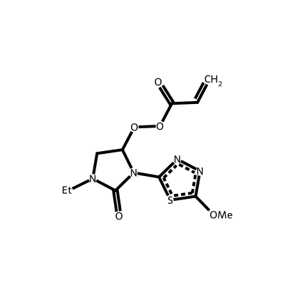 C=CC(=O)OOC1CN(CC)C(=O)N1c1nnc(OC)s1